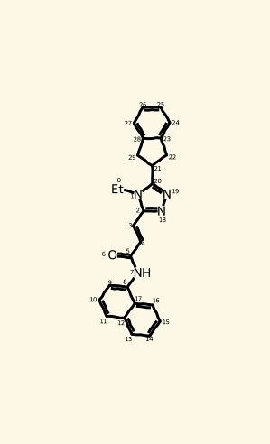 CCn1c(/C=C/C(=O)Nc2cccc3ccccc23)nnc1C1Cc2ccccc2C1